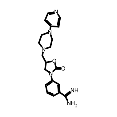 N=C(N)c1cccc(N2CC(CN3CCN(c4ccncc4)CC3)OC2=O)c1